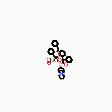 O=C(OC1CC2CCC(C1)[N+]21CCCC1)C(OC(Cc1ccccc1)SCCc1ccccc1)(c1ccccc1)c1ccccc1.O=C[O-]